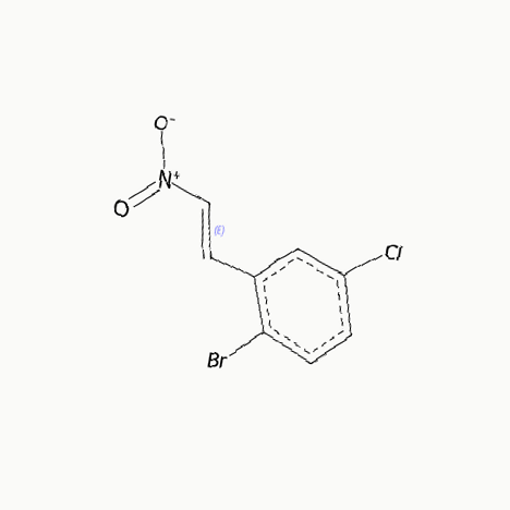 O=[N+]([O-])/C=C/c1cc(Cl)ccc1Br